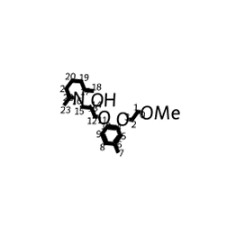 COCCOc1cc(C)ccc1OCC(O)CN1C(C)CCCC1C